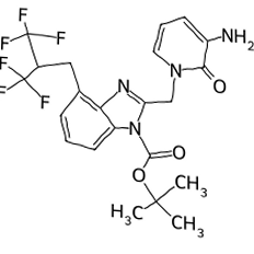 CC(C)(C)OC(=O)n1c(Cn2cccc(N)c2=O)nc2c(CC(C(F)(F)F)C(F)(F)F)cccc21